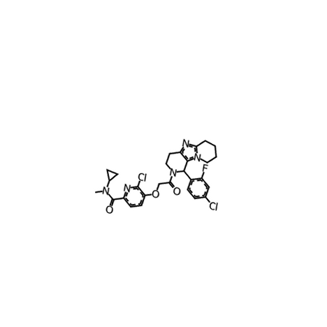 CN(C(=O)c1ccc(OCC(=O)N2CCc3nc4n(c3C2c2ccc(Cl)cc2F)CCCC4)c(Cl)n1)C1CC1